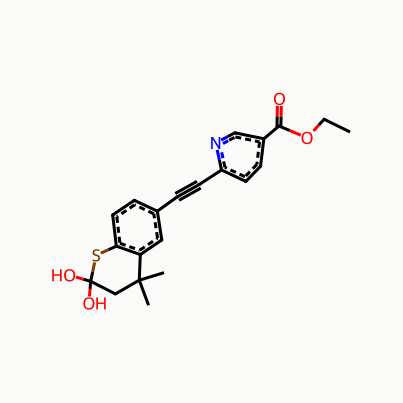 CCOC(=O)c1ccc(C#Cc2ccc3c(c2)C(C)(C)CC(O)(O)S3)nc1